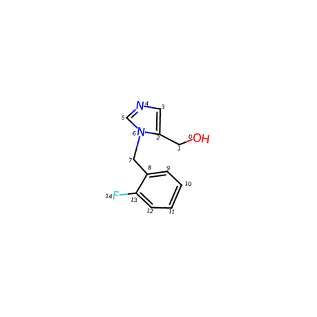 OCc1cncn1Cc1ccccc1F